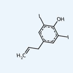 C=CCc1cc(I)c(O)c(I)c1